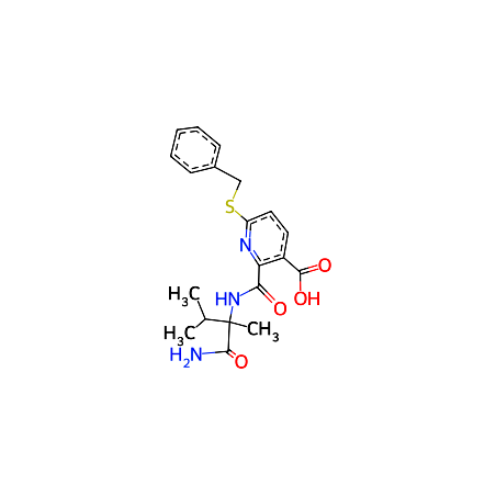 CC(C)C(C)(NC(=O)c1nc(SCc2ccccc2)ccc1C(=O)O)C(N)=O